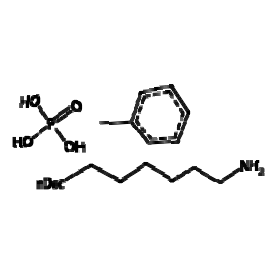 CCCCCCCCCCCCCCCCN.Cc1ccccc1.O=P(O)(O)O